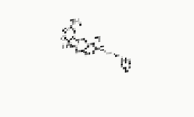 NC(=O)CC1C(=O)NC2=Nc3ccc(OCCCCn4ccnc4)c(Cl)c3CN21